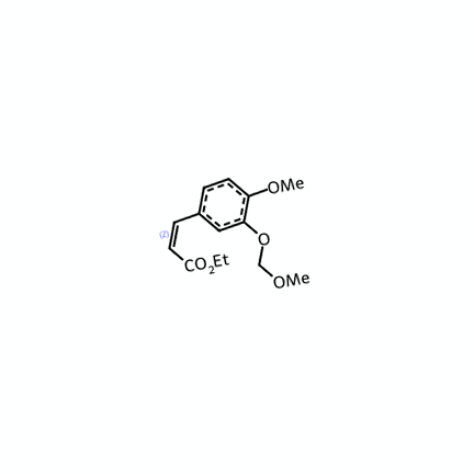 CCOC(=O)/C=C\c1ccc(OC)c(OCOC)c1